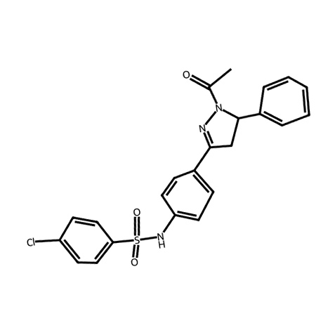 CC(=O)N1N=C(c2ccc(NS(=O)(=O)c3ccc(Cl)cc3)cc2)CC1c1ccccc1